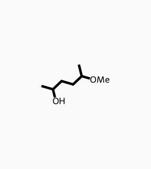 COC(C)CCC(C)O